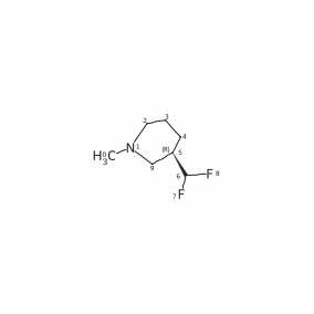 CN1CCC[C@@H](C(F)F)C1